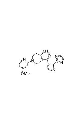 COc1ccnc(N2CC[C@@H](C)N(C(=O)c3ccsc3-n3nccn3)CC2)c1